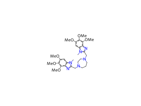 COc1cc2c(nc(CN3CCCN(Cc4nc5c(OC)c(OC)c(OC)cc5n4C)CC3)n2C)c(OC)c1OC